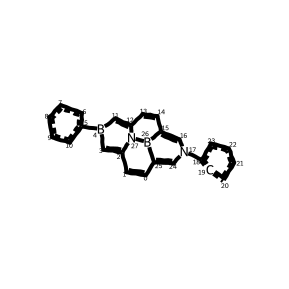 C1=CC2=CB(c3ccccc3)C=C3C=CC4=CN(c5ccccc5)C=C1B4N23